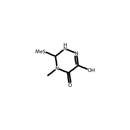 [CH2]SC1NN=C(O)C(=O)N1C